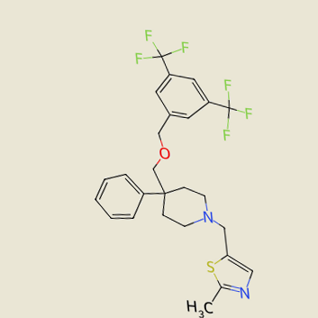 Cc1ncc(CN2CCC(COCc3cc(C(F)(F)F)cc(C(F)(F)F)c3)(c3ccccc3)CC2)s1